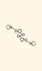 O=C(C(=O)c1cccc(OCCCN2CCCCCC2)c1)c1cccc(OCCCN2CCCCCC2)c1